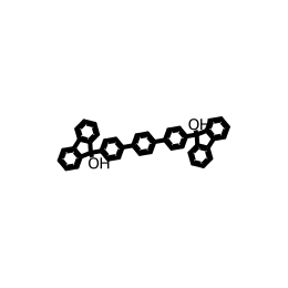 OC1(c2ccc(-c3ccc(-c4ccc(C5(O)c6ccccc6-c6ccccc65)cc4)cc3)cc2)c2ccccc2-c2ccccc21